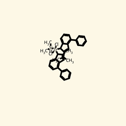 CC1=Cc2c(-c3ccccc3)cccc2[CH]1[Zr]([Cl])([Cl])([CH]1C(C(C)C)=Cc2c(-c3ccccc3)cccc21)[SiH](C)C